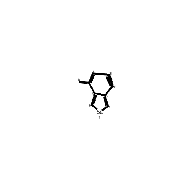 Cc1cccc2c[se]cc12